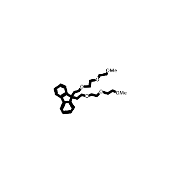 COCCOCCOCCC1(CCOCCOCCOC)c2[c][c]ccc2-c2cc[c]cc21